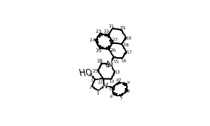 OC1CCN(c2ccccc2)C12CCN(C1CCC3CCCc4cccc1c43)CC2